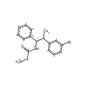 CC(c1cccc(Br)c1)C(NC(=O)CN)c1ccccc1